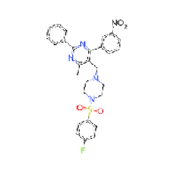 Cc1nc(-c2ccccc2)nc(-c2cccc([N+](=O)[O-])c2)c1CN1CCN(S(=O)(=O)c2ccc(F)cc2)CC1